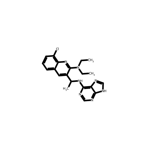 CCN(CC)c1nc2c(Cl)cccc2cc1C(C)Nc1ncnc2[nH]cnc12